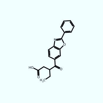 CCC(CC(=O)O)C(=O)c1ccc2nc(-c3ccccc3)oc2c1